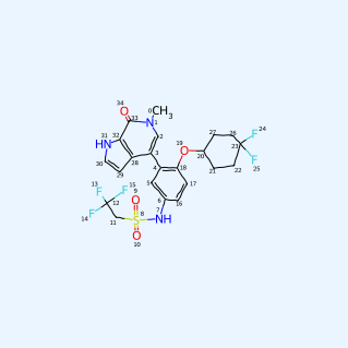 Cn1cc(-c2cc(NS(=O)(=O)CC(F)(F)F)ccc2OC2CCC(F)(F)CC2)c2cc[nH]c2c1=O